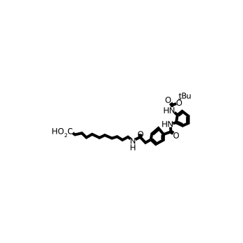 CC(C)(C)OC(=O)Nc1ccccc1NC(=O)c1ccc(CC(=O)NCCCCCCCCCCC(=O)O)cc1